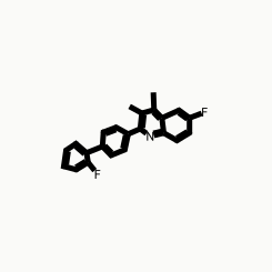 Cc1c(-c2ccc(-c3ccccc3F)cc2)nc2ccc(F)cc2c1C